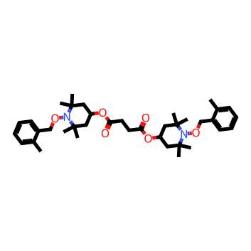 Cc1ccccc1CON1C(C)(C)CC(OC(=O)CCC(=O)OC2CC(C)(C)N(OCc3ccccc3C)C(C)(C)C2)CC1(C)C